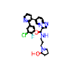 O=C(NCCCN1CCCC1O)c1cnc2ccc(-c3cccnc3-c3ccc(F)c(Cl)c3)cn12